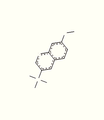 COc1ccc2c[c]([Sn]([CH3])([CH3])[CH3])cnc2c1